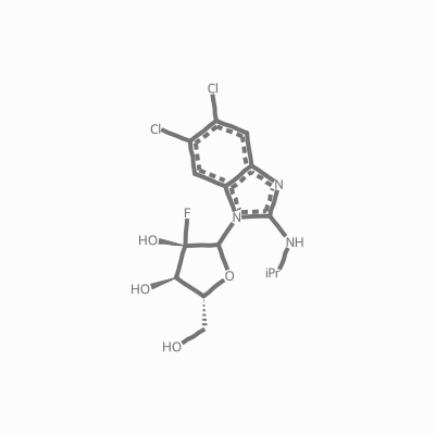 CC(C)Nc1nc2cc(Cl)c(Cl)cc2n1C1O[C@H](CO)[C@@H](O)[C@]1(O)F